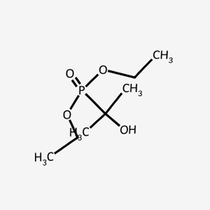 CCOP(=O)(OCC)C(C)(C)O